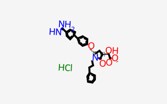 COC(=O)C(O)[C@@H]1C[C@@H](COc2ccc(-c3ccc(C(=N)N)cc3)cc2)N(CCCc2ccccc2)C1=O.Cl